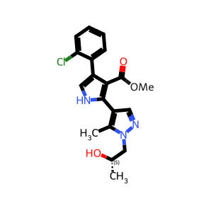 COC(=O)c1c(-c2ccccc2Cl)c[nH]c1-c1cnn(C[C@H](C)O)c1C